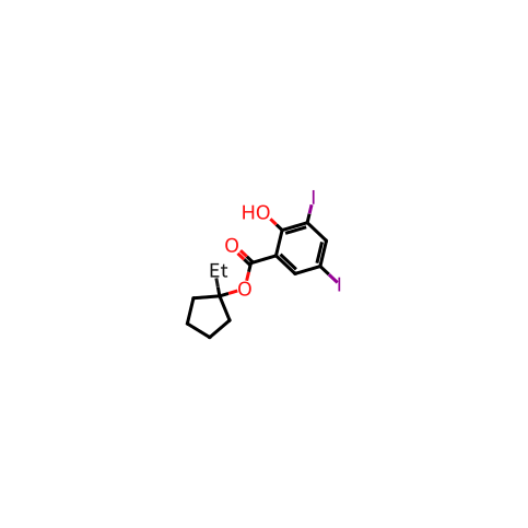 CCC1(OC(=O)c2cc(I)cc(I)c2O)CCCC1